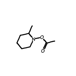 CC(=O)ON1CCCCC1C